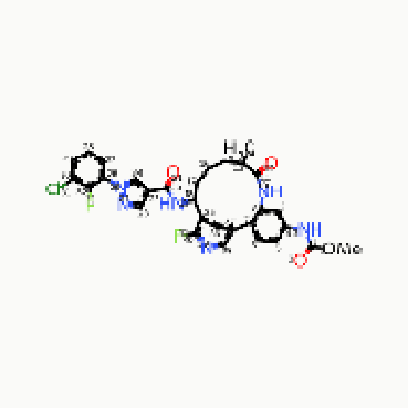 COC(=O)Nc1ccc2c(c1)NC(=O)C(C)CCCC(NC(=O)c1cnn(-c3cccc(Cl)c3F)c1)c1cc-2cnc1F